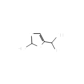 CC(C)C(C)C1=COC(O)O1